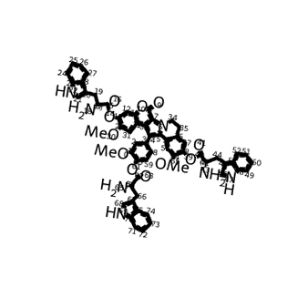 COc1cc(-c2c3n(c4c(=O)oc5cc(OC(=O)[C@@H](N)Cc6c[nH]c7ccccc67)c(OC)cc5c24)CCc2cc(OC(=O)[C@@H](N)Cc4c[nH]c5ccccc45)c(OC)cc2-3)ccc1OC(=O)[C@@H](N)Cc1c[nH]c2ccccc12